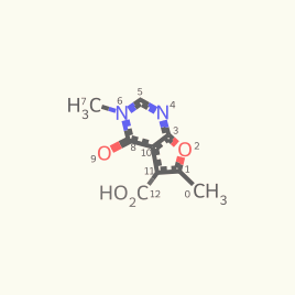 Cc1oc2ncn(C)c(=O)c2c1C(=O)O